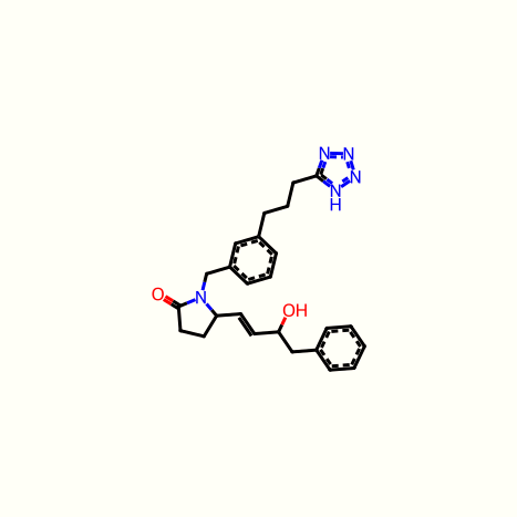 O=C1CCC(C=CC(O)Cc2ccccc2)N1Cc1cccc(CCCc2nnn[nH]2)c1